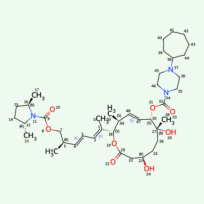 C/C(=C\C=C\[C@@H](C)COC(=O)N1[C@H](C)CC[C@H]1C)[C@H]1OC(=O)C[C@H](O)CC[C@@](C)(O)[C@@H](OC(=O)N2CCN(C3CCCCCC3)CC2)/C=C/[C@@H]1C